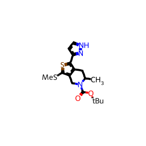 CSc1sc(-c2cc[nH]n2)c2c1CN(C(=O)OC(C)(C)C)C(C)C2